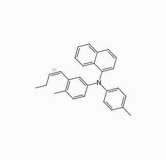 CC/C=C\c1cc(N(c2ccc(C)cc2)c2cccc3ccccc23)ccc1C